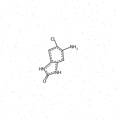 Nc1cc2[nH]c(=O)[nH]c2cc1Cl